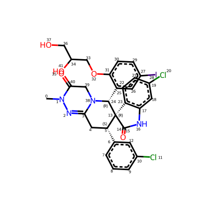 CN1N=C2C[C@@H](c3cccc(Cl)c3)[C@]3(C(=O)Nc4cc(Cl)ccc43)[C@@H](c3cc(I)ccc3OCC(O)CO)N2CC1=O